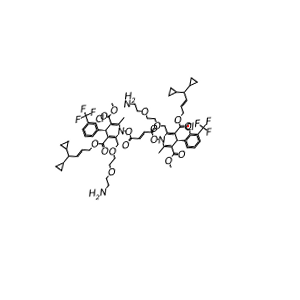 COC(=O)C1=C(C)N(OC(=O)/C=C/C(=O)ON2C(C)=C(C(=O)OC)[C@H](c3cccc(C(F)(F)F)c3Cl)C(C(=O)OC/C=C/C(C3CC3)C3CC3)=C2COCCOCCN)C(COCCOCCN)=C(C(=O)OC/C=C/C(C2CC2)C2CC2)[C@H]1c1cccc(C(F)(F)F)c1Cl